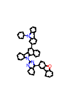 c1ccc(-n2c3ccccc3c3ccc(-c4cc5c6ccccc6n(-c6nc(-c7ccc8oc9ccccc9c8c7)c7ccccc7n6)c5c5ccccc45)cc32)cc1